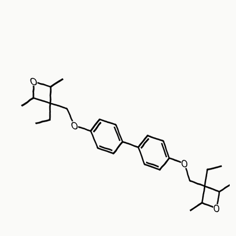 CCC1(COc2ccc(-c3ccc(OCC4(CC)C(C)OC4C)cc3)cc2)C(C)OC1C